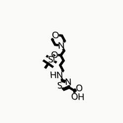 CC(C)(C)[Si](C)(C)OC(CCCNc1nc(C(=O)O)cs1)CN1CCOCC1